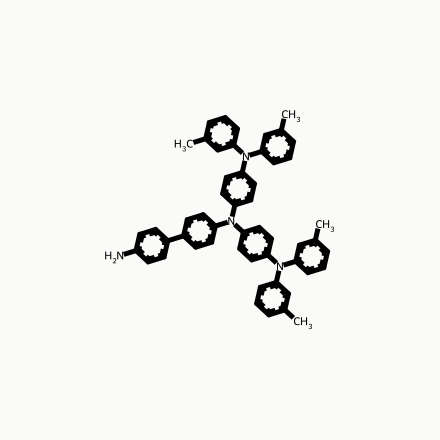 Cc1cccc(N(c2ccc(N(c3ccc(-c4ccc(N)cc4)cc3)c3ccc(N(c4cccc(C)c4)c4cccc(C)c4)cc3)cc2)c2cccc(C)c2)c1